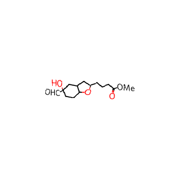 COC(=O)CCCC1CC2CC(O)(C=O)CCC2O1